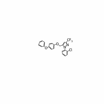 FC(F)(F)c1cc(COc2ccc(Oc3ccccc3)cc2)n(-c2ccccc2Cl)n1